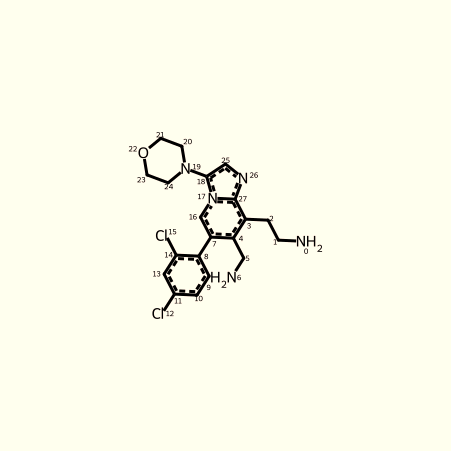 NCCc1c(CN)c(-c2ccc(Cl)cc2Cl)cn2c(N3CCOCC3)cnc12